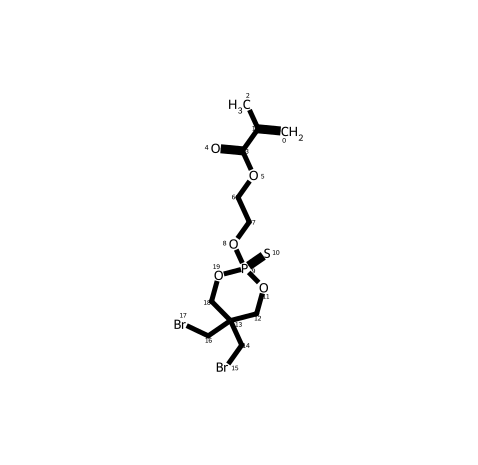 C=C(C)C(=O)OCCOP1(=S)OCC(CBr)(CBr)CO1